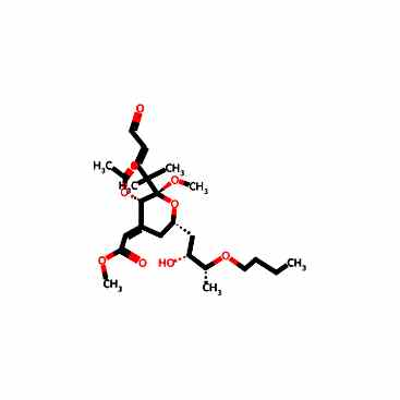 CCCCO[C@H](C)[C@H](O)C[C@@H]1C/C(=C\C(=O)OC)[C@H](OC(C)=O)[C@](OC)(C(C)(C)/C=C/C=O)O1